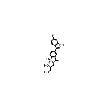 CC1c2cc(-c3c[nH]c4cc(F)ccc34)ccc2S(=O)(=O)N1C[C@@H](O)CO